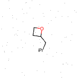 CC(C)CC1CCO1